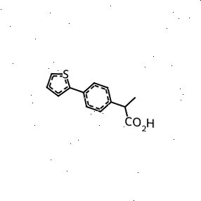 CC(C(=O)O)c1ccc(-c2cccs2)cc1